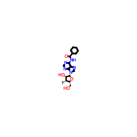 O=C(Nc1ncnc2c1ncn2[C@@H]1O[C@H](CO)[C@H](F)[C@H]1O)c1ccccc1